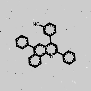 N#Cc1cccc(-c2cc(-c3ccccc3)nc3c2cc(-c2ccccc2)c2ccccc23)c1